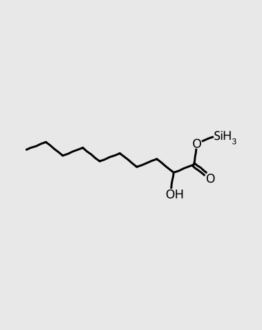 CCCCCCCCC(O)C(=O)O[SiH3]